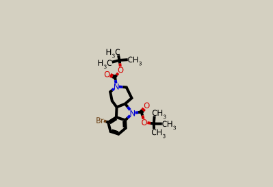 CC(C)(C)OC(=O)N1CCC2c3c(Br)cccc3N(C(=O)OC(C)(C)C)C2CC1